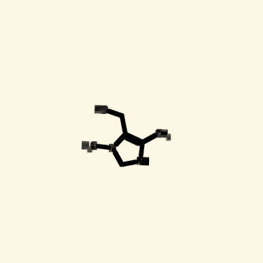 CC1=C(CO)N(C)CN1